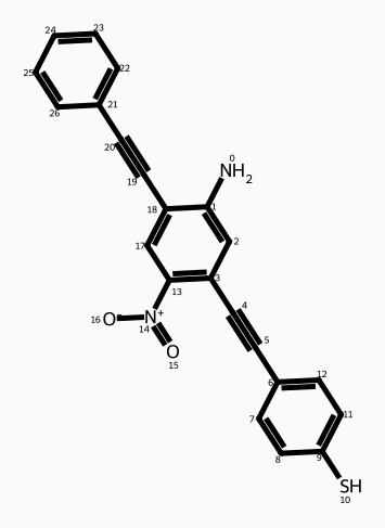 Nc1cc(C#Cc2ccc(S)cc2)c([N+](=O)[O-])cc1C#Cc1ccccc1